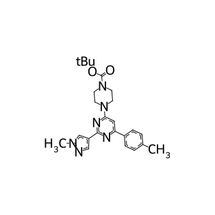 Cc1ccc(-c2cc(N3CCN(C(=O)OC(C)(C)C)CC3)nc(-c3cnn(C)c3)n2)cc1